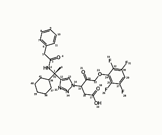 C[C@@](NC(=O)Cc1ccccc1)(c1cn(C(CC(=O)O)C(=O)COc2c(F)c(F)cc(F)c2F)nn1)C1CCCCC1